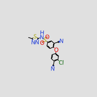 Cc1nnc(NS(=O)(=O)c2ccc(Oc3ccc(C#N)c(Cl)c3)c(C#N)c2)s1